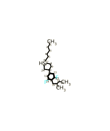 CCCCCCC[SiH]1CCC(c2cc(F)c(C[C@H](C)CC)c(F)c2)CC1